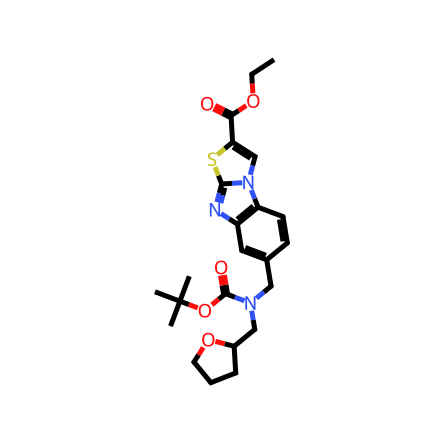 CCOC(=O)c1cn2c(nc3cc(CN(CC4CCCO4)C(=O)OC(C)(C)C)ccc32)s1